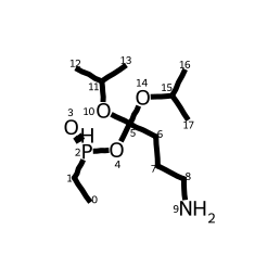 CC[PH](=O)OC(CCCN)(OC(C)C)OC(C)C